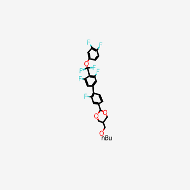 CCCCOCC1COC(c2ccc(-c3cc(F)c(C(F)(F)Oc4ccc(F)c(F)c4)c(F)c3)c(F)c2)OC1